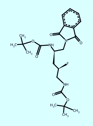 CC(C)(C)OC(=O)NC[C@H](F)C[C@H](CN1C(=O)c2ccccc2C1=O)NC(=O)OC(C)(C)C